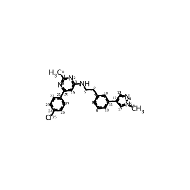 Cc1nc(NCCc2cccc(-c3cnn(C)c3)c2)cc(-c2ccc(Cl)cc2)n1